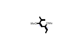 C=C(C)/C(=C\C(=C/C)OC)OC